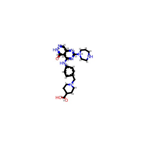 O=C(O)C1CCN(Cc2ccc(Nc3nc(N4CCCNCC4)nc4cn[nH]c(=O)c34)cc2)CC1